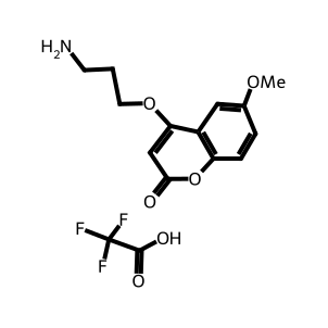 COc1ccc2oc(=O)cc(OCCCN)c2c1.O=C(O)C(F)(F)F